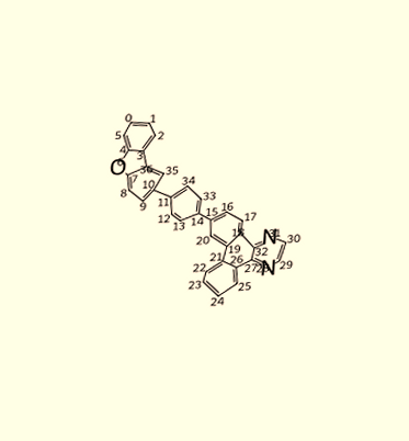 c1ccc2c(c1)oc1ccc(-c3ccc(-c4ccc5c(c4)c4ccccc4c4nccnc54)cc3)cc12